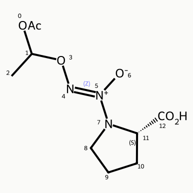 CC(=O)OC(C)O/N=[N+](\[O-])N1CCC[C@H]1C(=O)O